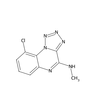 CNc1nc2cccc(Cl)c2n2nnnc12